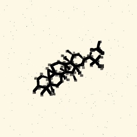 CC(=O)O[C@@H]([C@H]1C[C@@H](C)[C@H]2[C@H](O1)[C@H](C)[C@@]1(C)[C@@H]3CC[C@H]4C(C)(C)C(C)CC[C@@]45C[C@@]35CC[C@]21C)C(C)(C)O